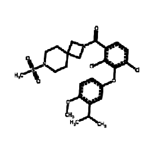 COc1ccc(Oc2c(Cl)ccc(C(=O)N3CC4(CCN(S(C)(=O)=O)CC4)C3)c2Cl)cc1C(C)C